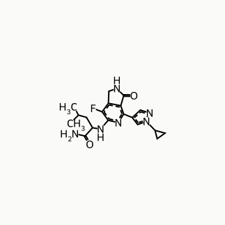 CC(C)CC(Nc1nc(-c2cnn(C3CC3)c2)c2c(c1F)CNC2=O)C(N)=O